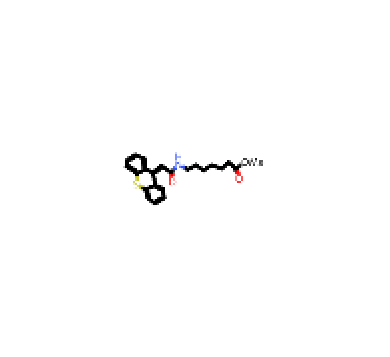 COC(=O)CCCCCCNC(=O)C=C1c2ccccc2Sc2ccccc21